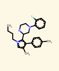 CCCCn1cc(C)c(-c2ccc(C)cc2)c1C1CN(c2ccccc2F)CC[N]1